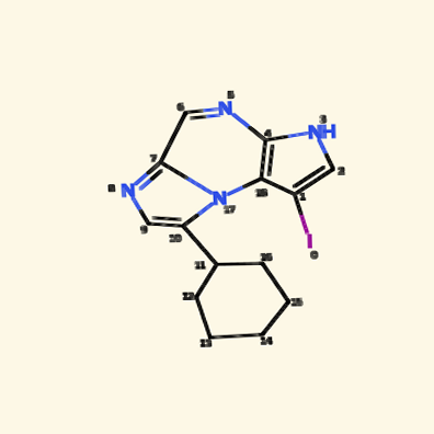 Ic1c[nH]c2ncc3ncc(C4CCCCC4)n3c12